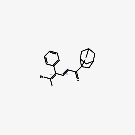 C/C(Br)=C(\C=C\C(=O)C12CC3CC(CC1C3)C2)c1ccccc1